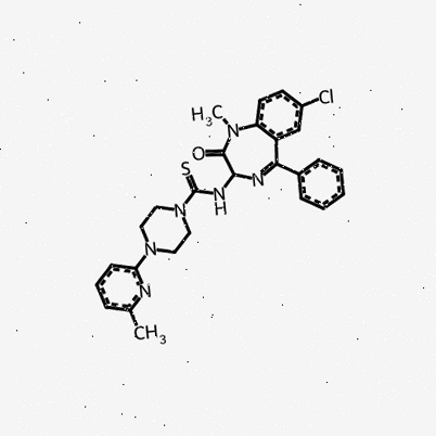 Cc1cccc(N2CCN(C(=S)NC3N=C(c4ccccc4)c4cc(Cl)ccc4N(C)C3=O)CC2)n1